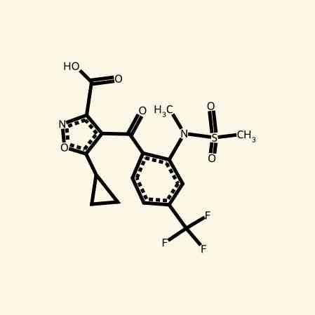 CN(c1cc(C(F)(F)F)ccc1C(=O)c1c(C(=O)O)noc1C1CC1)S(C)(=O)=O